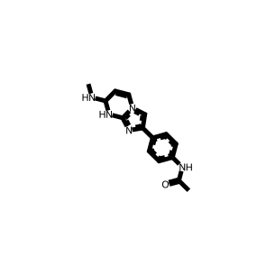 CNC1C=Cn2cc(-c3ccc(NC(C)=O)cc3)nc2N1